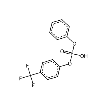 O=P(O)(Oc1ccccc1)Oc1ccc(C(F)(F)F)cc1